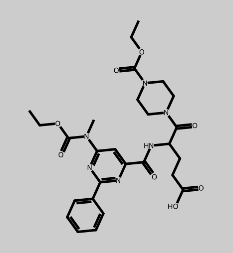 CCOC(=O)N1CCN(C(=O)C(CCC(=O)O)NC(=O)c2cc(N(C)C(=O)OCC)nc(-c3ccccc3)n2)CC1